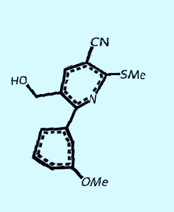 COc1cccc(-c2nc(SC)c(C#N)cc2CO)c1